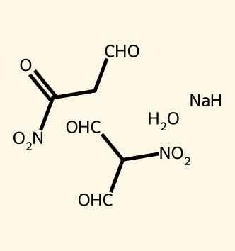 O.O=CC(C=O)[N+](=O)[O-].O=CCC(=O)[N+](=O)[O-].[NaH]